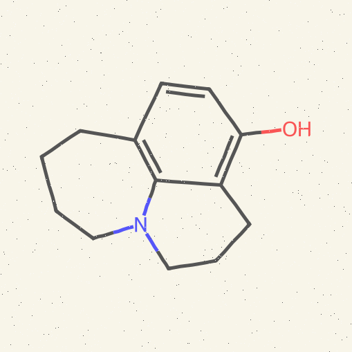 Oc1ccc2c3c1CCCN3CCCC2